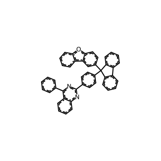 c1ccc(-c2nc(-c3ccc(C4(c5ccc6oc7ccccc7c6c5)c5ccccc5-c5ccccc54)cc3)nc3ccccc23)cc1